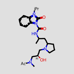 CC(=O)N(C)C[C@H](O)CN1CCCC1CC(C)NC(=O)n1c(=O)n(C(C)C)c2ccccc21